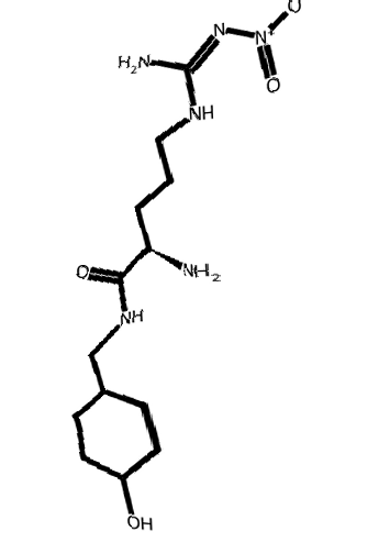 N/C(=N/[N+](=O)[O-])NCCC[C@@H](N)C(=O)NCC1CCC(O)CC1